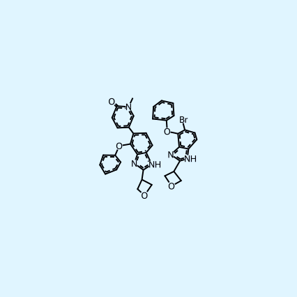 Brc1ccc2[nH]c(C3COC3)nc2c1Oc1ccccc1.Cn1cc(-c2ccc3[nH]c(C4COC4)nc3c2Oc2ccccc2)ccc1=O